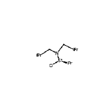 CC(C)CN(CC(C)C)[S@+]([O-])C(C)C